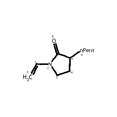 C=CN1CCC(CCCCC)C1=O